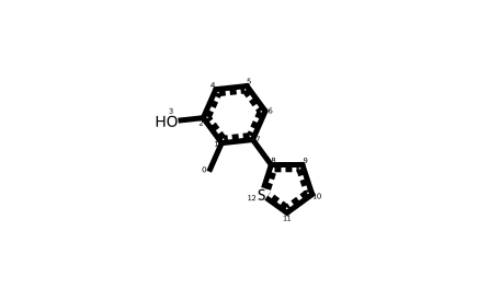 Cc1c(O)cccc1-c1cccs1